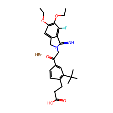 Br.CCOc1cc2c(c(F)c1OCC)C(=N)N(CC(=O)c1ccc(CCC(=O)O)c(C(C)(C)C)c1)C2